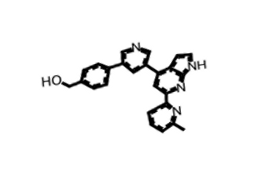 Cc1cccc(-c2cc(-c3cncc(-c4ccc(CO)cc4)c3)c3cc[nH]c3n2)n1